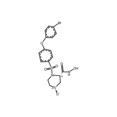 O=C(NO)[C@@H]1C[S@@+]([O-])CCN1S(=O)(=O)c1ccc(Oc2ccc(Br)cc2)cc1